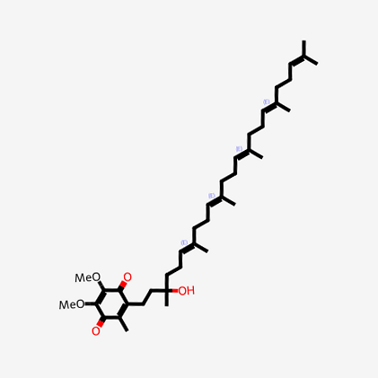 COC1=C(OC)C(=O)C(CCC(C)(O)CC/C=C(\C)CC/C=C(\C)CC/C=C(\C)CC/C=C(\C)CCC=C(C)C)=C(C)C1=O